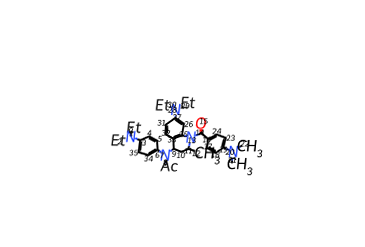 CCN(CC)c1ccc(N(C(C)=O)C2CC(C)N(C(=O)c3ccc(N(C)C)cc3)c3cc(N(CC)CC)ccc32)cc1